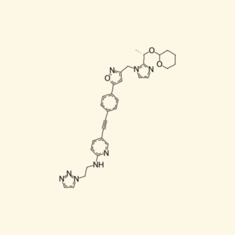 C[C@H](OC1CCCCO1)c1nccn1Cc1cc(-c2ccc(C#Cc3ccc(NCCn4ccnn4)nc3)cc2)on1